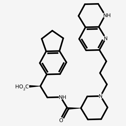 O=C(NC[C@@H](C(=O)O)c1ccc2c(c1)CCC2)[C@@H]1CCCN(CCCc2ccc3c(n2)NCCC3)C1